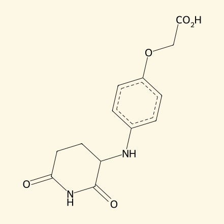 O=C(O)COc1ccc(NC2CCC(=O)NC2=O)cc1